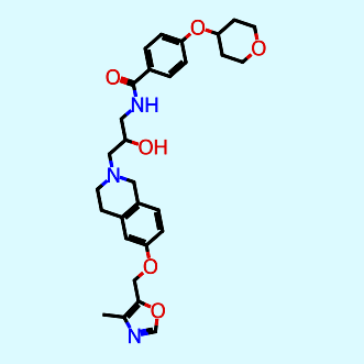 Cc1ncoc1COc1ccc2c(c1)CCN(CC(O)CNC(=O)c1ccc(OC3CCOCC3)cc1)C2